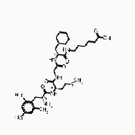 CSCC[C@@H](NC(=O)[C@H](N)Cc1c(C)cc(O)cc1C)C(=O)NCC(=O)N[C@@H](CC1CCCCC1)C(=O)NCCCCCC(=O)O